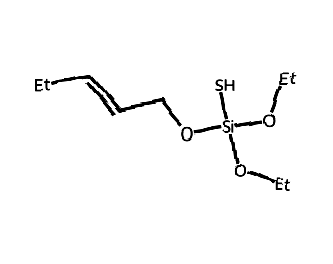 CCC=CCO[Si](S)(OCC)OCC